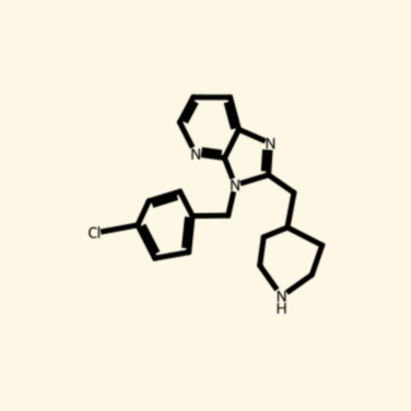 Clc1ccc(Cn2c(CC3CCNCC3)nc3cccnc32)cc1